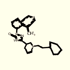 Cc1cncc2cccc(-n3nc(C4CCCN(CCC5CCCCC5)C4)[nH]c3=O)c12